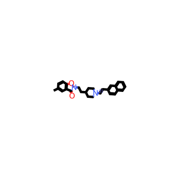 Cc1ccc2on(CCC3CCN(/C=C/c4ccc5ccccc5c4)CC3)c(=O)c2c1